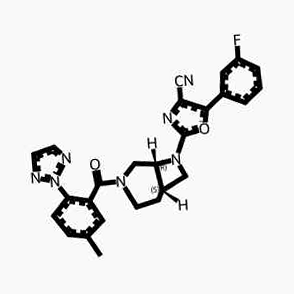 Cc1ccc(-n2nccn2)c(C(=O)N2CC[C@H]3CN(c4nc(C#N)c(-c5cccc(F)c5)o4)[C@H]3C2)c1